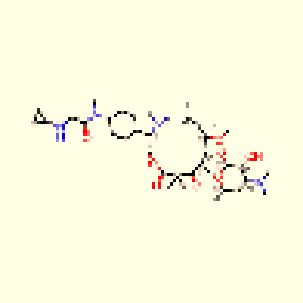 CO[C@]1(C)C[C@@H](C)CN(C)[C@@H]([C@H]2CC[C@H](N(C)C(=O)CNC3CC3)CC2)COC(=O)C(C)(C)C(=O)[C@H](C)[C@H]1O[C@@H]1O[C@H](C)C[C@H](N(C)C)[C@H]1O